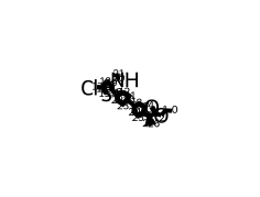 CCOC(=O)C1(c2ccc(-c3ccc(-c4sc(Cl)cc4NC)cc3)cc2)CC1